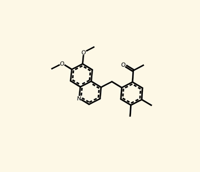 COc1cc2nccc(Cc3cc(C)c(C)cc3C(C)=O)c2cc1OC